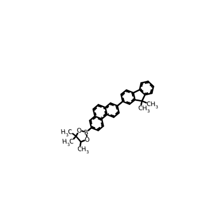 CC1OB(c2ccc3c(ccc4cc(-c5ccc6c(c5)C(C)(C)c5ccccc5-6)ccc43)c2)OC1(C)C